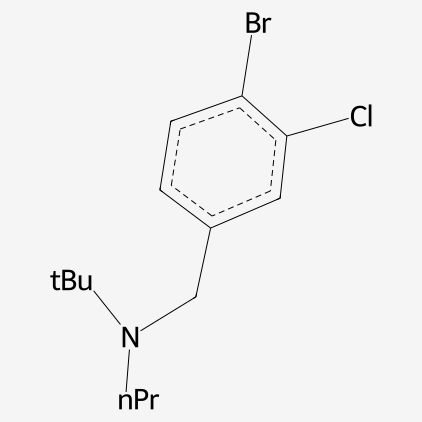 CCCN(Cc1ccc(Br)c(Cl)c1)C(C)(C)C